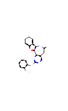 COc1ccccc1Nc1ncc2c(n1)-c1oc3c(c1NC(=O)C2)=CCCC=3